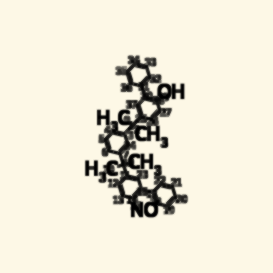 CC(C)(c1cccc(C(C)(C)c2ccc(N=O)c(-c3ccccc3)c2)c1)c1ccc(O)c(-c2ccccc2)c1